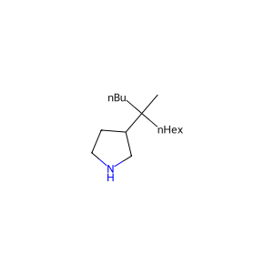 CCCCCCC(C)(CCCC)C1CCNC1